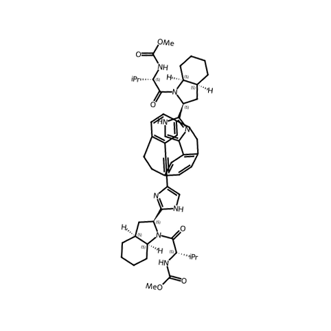 COC(=O)N[C@H](C(=O)N1[C@H](c2nc(C#Cc3cc4ccc3CCc3ccc(c(-c5c[nH]c([C@@H]6C[C@@H]7CCCC[C@@H]7N6C(=O)[C@@H](NC(=O)OC)C(C)C)n5)c3)CC4)c[nH]2)C[C@@H]2CCCC[C@@H]21)C(C)C